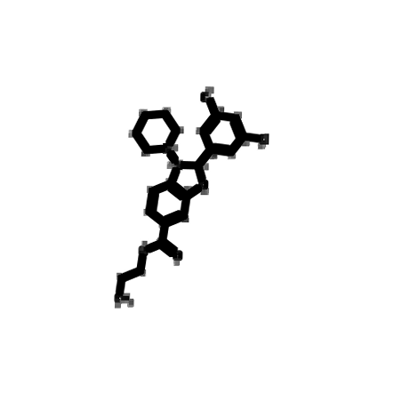 CCCOC(=O)c1ccc2c(c1)OC(c1cc(Cl)cc(Cl)c1)N2N1CCCCC1